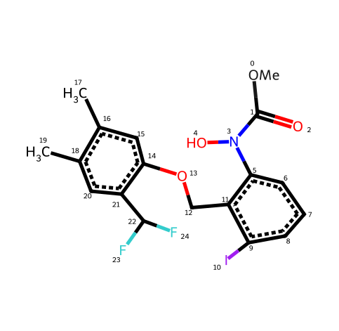 COC(=O)N(O)c1cccc(I)c1COc1cc(C)c(C)cc1C(F)F